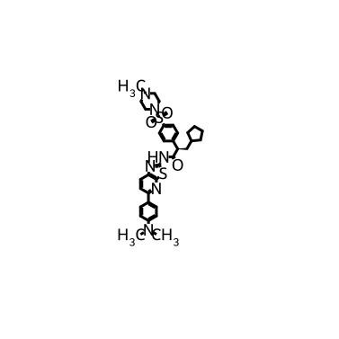 CN1CCN(S(=O)(=O)c2ccc([C@@H](CC3CCCC3)C(=O)Nc3nc4ccc(-c5ccc(N(C)C)cc5)nc4s3)cc2)CC1